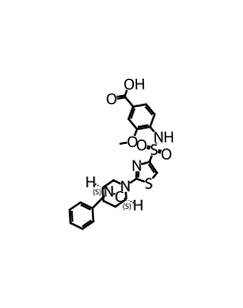 COc1cc(C(=O)O)ccc1NS(=O)(=O)c1csc(N2C[C@@H]3CC[C@H]2CN3c2ccccc2)n1